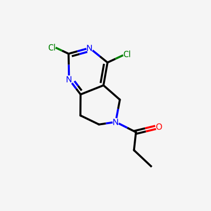 CCC(=O)N1CCc2nc(Cl)nc(Cl)c2C1